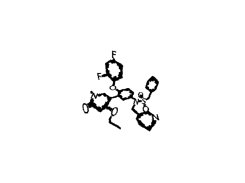 CCOc1cc(=O)n(C)cc1-c1cc(N(Cc2cccnc2)S(=O)(=O)Cc2ccccc2)ccc1Oc1ccc(F)cc1F